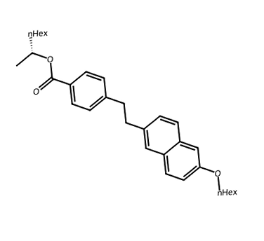 CCCCCCOc1ccc2cc(CCc3ccc(C(=O)O[C@H](C)CCCCCC)cc3)ccc2c1